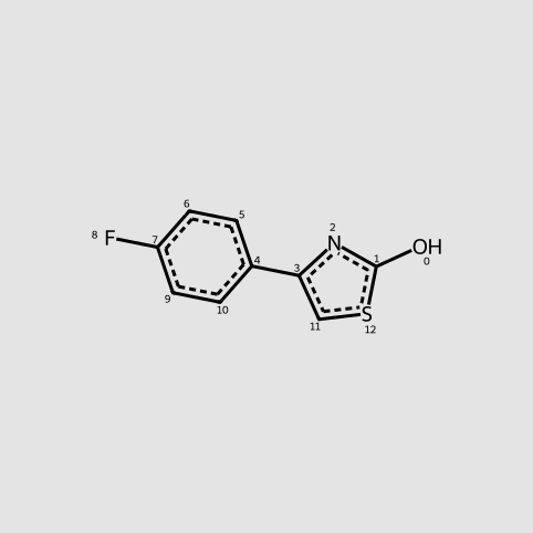 Oc1nc(-c2ccc(F)cc2)cs1